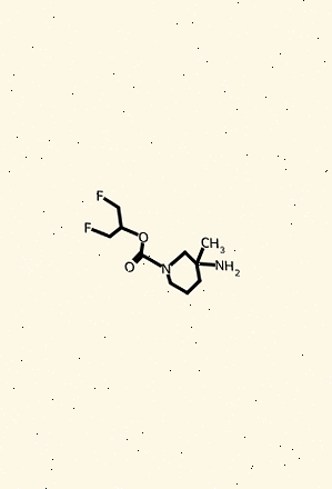 CC1(N)CCCN(C(=O)OC(CF)CF)C1